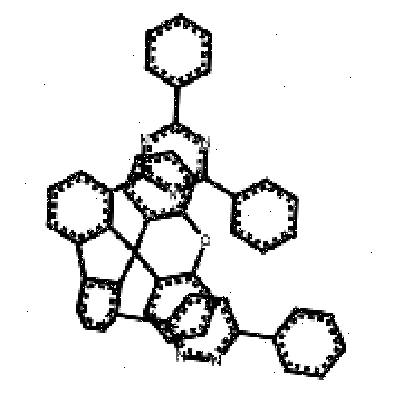 c1ccc(-c2ccc(-c3cccc4c3C3(c5ccccc5Oc5ccccc53)c3c(-c5nc(-c6ccccc6)nc(-c6ccccc6)n5)cccc3-4)nn2)cc1